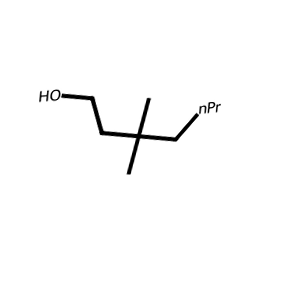 CCCCC(C)(C)CCO